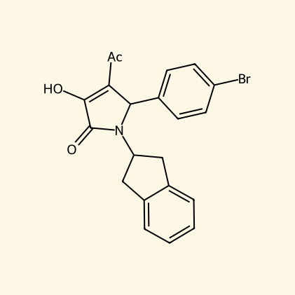 CC(=O)C1=C(O)C(=O)N(C2Cc3ccccc3C2)C1c1ccc(Br)cc1